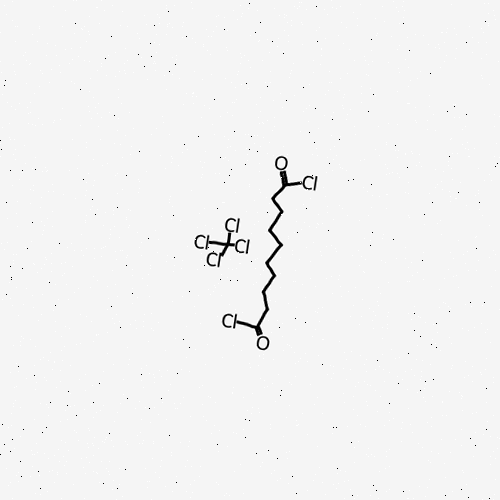 ClC(Cl)(Cl)Cl.O=C(Cl)CCCCCCCCC(=O)Cl